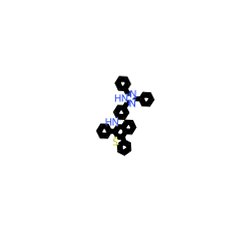 c1ccc(C2=NC(c3ccccc3)NC(c3ccc(Nc4c(-c5ccccc5)c5sc6ccccc6c5c5ccccc45)cc3)=N2)cc1